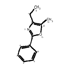 C[C]c1nc(-c2ccccc2)oc1C